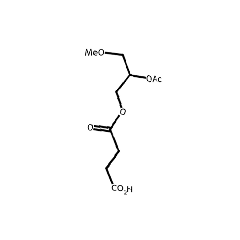 COCC(COC(=O)CCC(=O)O)OC(C)=O